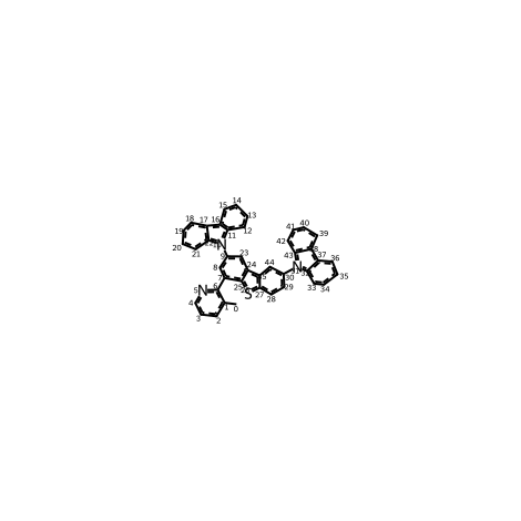 Cc1cccnc1-c1cc(-n2c3ccccc3c3ccccc32)cc2c1sc1ccc(-n3c4ccccc4c4ccccc43)cc12